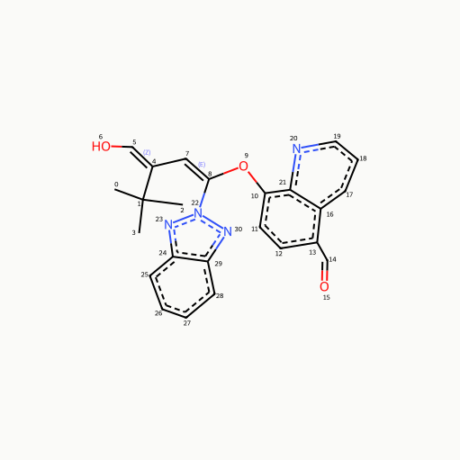 CC(C)(C)C(=C\O)/C=C(/Oc1ccc(C=O)c2cccnc12)n1nc2ccccc2n1